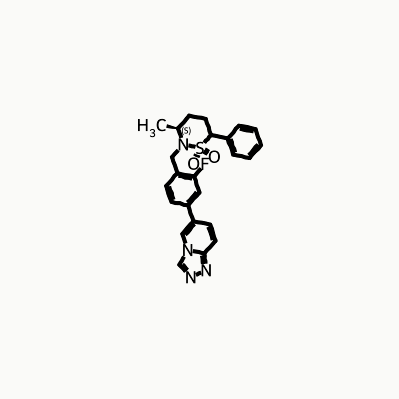 C[C@H]1CCC(c2ccccc2)S(=O)(=O)N1Cc1ccc(-c2ccc3nncn3c2)cc1F